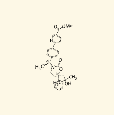 COC(=O)c1ccc(-c2ccc([C@H](C)N3CC[C@](CC(C)(C)O)(c4ccccc4)OC3=O)cc2)nc1